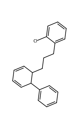 Clc1ccccc1CCCC1C=CC=CC1c1ccccc1